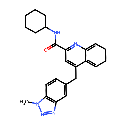 Cn1nnc2cc(Cc3cc(C(=O)NC4CCCCC4)nc4c3=CCCC=4)ccc21